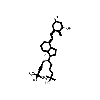 C=C1/C(=C\C=C2/CCC[C@@]3(C)C2CCC3[C@H](CC#CC(O)(C(F)(F)F)C(F)(F)F)CCCC(C)(C)O)C[C@@H](O)C[C@@H]1O